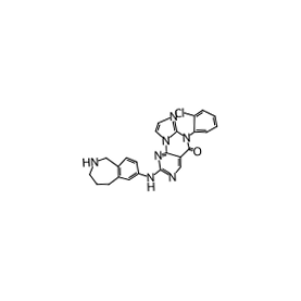 O=c1c2cnc(Nc3ccc4c(c3)CCCNC4)nc2n2ccnc2n1-c1ccccc1Cl